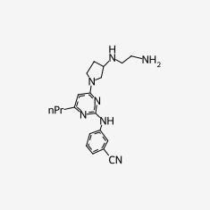 CCCc1cc(N2CCC(NCCN)C2)nc(Nc2cccc(C#N)c2)n1